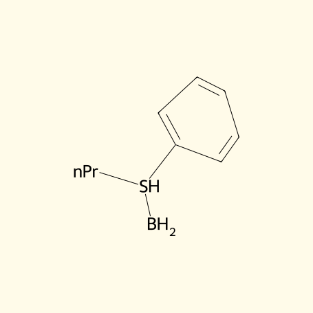 B[SH](CCC)c1ccccc1